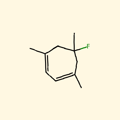 CC1=CC=C(C)CC(C)(F)C1